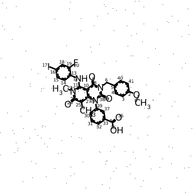 COc1ccc(Cn2c(=O)c3c(Nc4ccc(I)cc4F)n(C)c(=O)c(C)c3n(-c3cccc(C(=O)O)c3)c2=O)cc1